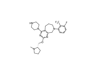 CN1CCC[C@H]1COc1nc2c(c(N3CCNCC3)n1)CCCN(c1cccc(F)c1C(F)(F)F)C2